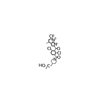 Cc1cc(C(F)(F)F)nc2c1cc(C(=O)c1c(Cl)ccc(C(=O)N3CCC(CC(=O)O)CC3)c1Cl)n2C